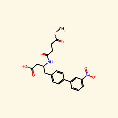 COC(=O)CCC(=O)NC(CC(=O)O)Cc1ccc(-c2cccc([N+](=O)[O-])c2)cc1